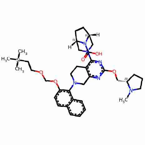 CN1CCC[C@H]1COc1nc2c(c(N3C[C@H]4CC[C@@H](C3)N4C(=O)O)n1)CCN(c1c(OCOCC[Si](C)(C)C)ccc3ccccc13)C2